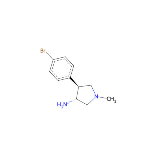 CN1C[C@H](c2ccc(Br)cc2)[C@@H](N)C1